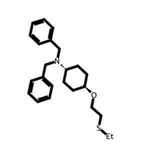 CCSCCO[C@H]1CC[C@H](N(Cc2ccccc2)Cc2ccccc2)CC1